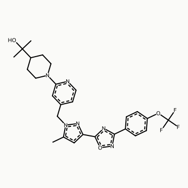 Cc1cc(-c2nc(-c3ccc(OC(F)(F)F)cc3)no2)nn1Cc1ccnc(N2CCC(C(C)(C)O)CC2)c1